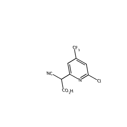 N#CC(C(=O)O)c1cc(C(F)(F)F)cc(Cl)n1